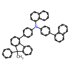 CC1(c2ccccc2)c2ccccc2-c2c(-c3ccc(N(c4ccc(-c5cccc6ccccc56)cc4)c4cccc5ccccc45)cc3)cccc21